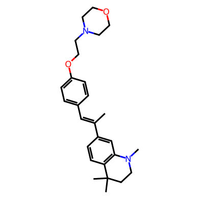 C/C(=C\c1ccc(OCCN2CCOCC2)cc1)c1ccc2c(c1)N(C)CCC2(C)C